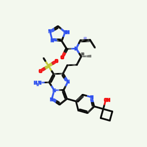 C/C=C\N(C(=O)c1nnc[nH]1)[C@H](C)CCc1nc2c(-c3ccc(C4(O)CCC4)nc3)cnn2c(N)c1S(C)(=O)=O